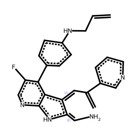 C=CCNc1ccc(-c2c(F)cnc3[nH]c(=C/N)/c(=C\C(=C)c4cccnc4)c23)cc1